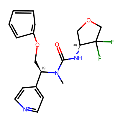 CN(C(=O)N[C@@H]1COCC1(F)F)[C@H](COc1ccccc1)c1ccncc1